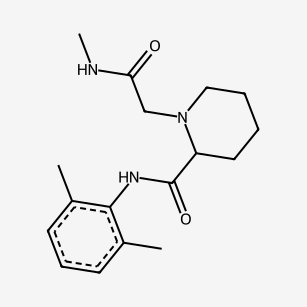 CNC(=O)CN1CCCCC1C(=O)Nc1c(C)cccc1C